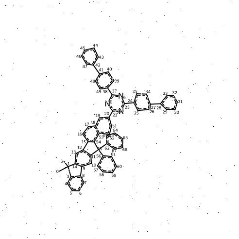 CC1(C)c2ccccc2-c2cc3c(cc21)-c1ccc2cc(-c4nc(-c5ccc(-c6ccccc6)cc5)nc(-c5ccc(-c6ccccc6)cc5)n4)ccc2c1C3(c1ccccc1)c1ccccc1